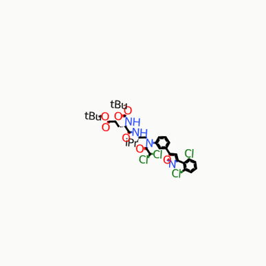 CC(C)[C@@H](CN(C(=O)C(Cl)Cl)c1cccc(-c2cc(-c3c(Cl)cccc3Cl)no2)c1)NC(=O)[C@H](CCC(=O)OC(C)(C)C)NC(=O)OC(C)(C)C